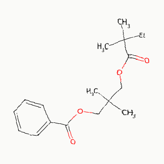 CCC(C)(C)C(=O)OCC(C)(C)COC(=O)c1ccccc1